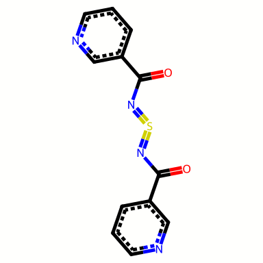 O=C(N=S=NC(=O)c1cccnc1)c1cccnc1